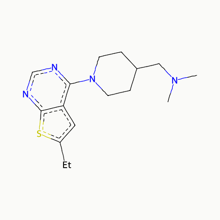 CCc1cc2c(N3CCC(CN(C)C)CC3)ncnc2s1